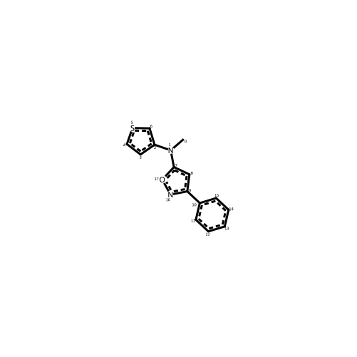 CN(c1ccsc1)c1cc(-c2ccccc2)no1